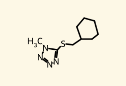 Cn1nnnc1SCC1CCCCC1